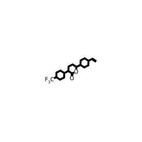 C=CC1CCC(C2CCC(C3CCC(C(F)(F)F)CC3)C(=O)O2)CC1